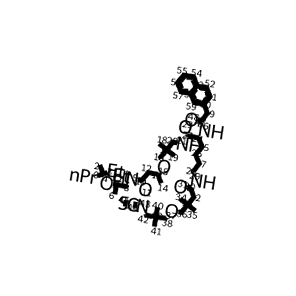 CCCC(C)(CC)OC(C)(CC)CNC(=O)CC(C)OCC(C)(C)CNC(=O)C(CCCCNC(=O)CC(C)(C)COCC(C)(C)CN=C=S)NC(=O)Cc1ccc2ccccc2c1